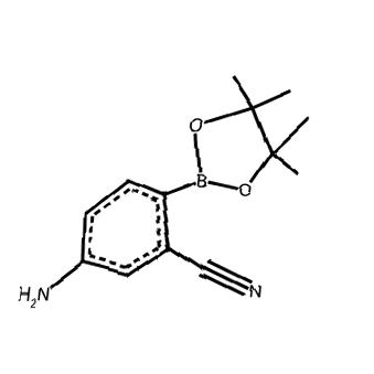 CC1(C)OB(c2ccc(N)cc2C#N)OC1(C)C